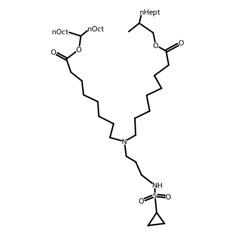 CCCCCCCCC(CCCCCCCC)OC(=O)CCCCCCCN(CCCCCCCC(=O)OCC(C)CCCCCCC)CCCNS(=O)(=O)C1CC1